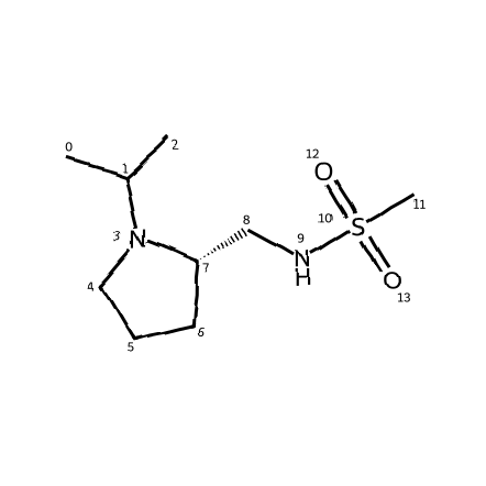 CC(C)N1CCC[C@H]1CNS(C)(=O)=O